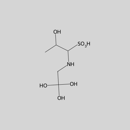 CC(O)C(NCC(O)(O)O)S(=O)(=O)O